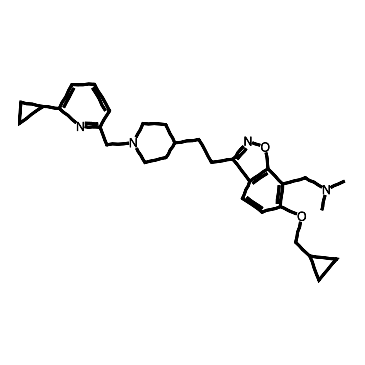 CN(C)Cc1c(OCC2CC2)ccc2c(CCC3CCN(Cc4cccc(C5CC5)n4)CC3)noc12